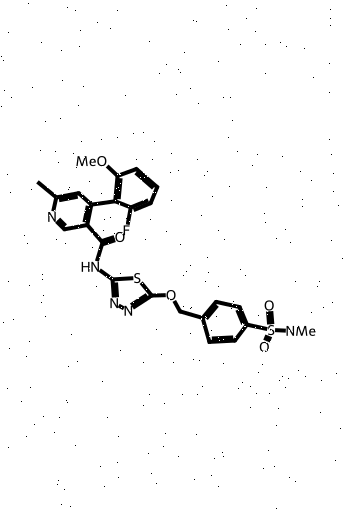 CNS(=O)(=O)c1ccc(COc2nnc(NC(=O)c3cnc(C)cc3-c3c(F)cccc3OC)s2)cc1